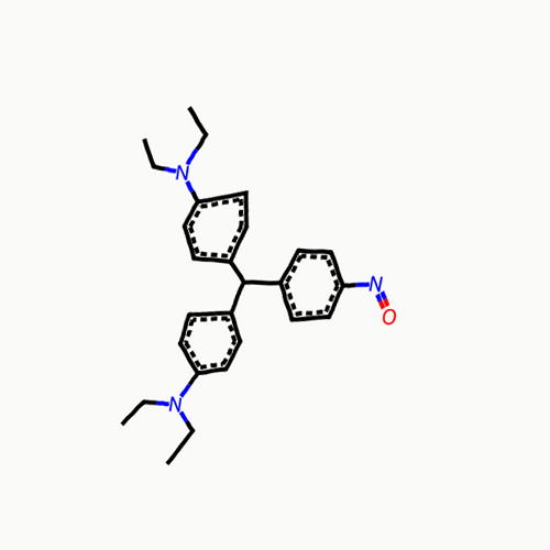 CCN(CC)c1ccc(C(c2ccc(N=O)cc2)c2ccc(N(CC)CC)cc2)cc1